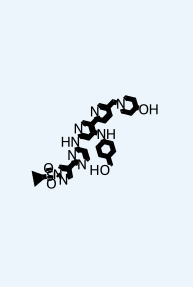 O=S(=O)(C1CC1)n1cc(-c2nccc(Nc3cc(NC4CCC(CO)CC4)c(-c4ccc(CN5CCC(O)CC5)cn4)cn3)n2)cn1